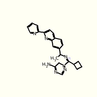 CC(/N=C(/C1CCC1)N1CC(N)=NC=N1)c1ccc2ccc(-c3ccccn3)nc2c1